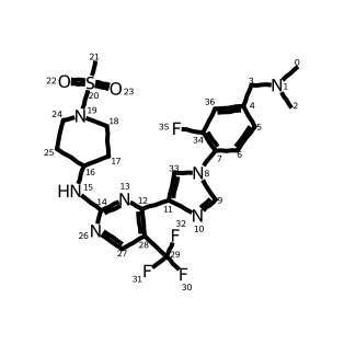 CN(C)Cc1ccc(-n2cnc(-c3nc(NC4CCN(S(C)(=O)=O)CC4)ncc3C(F)(F)F)c2)c(F)c1